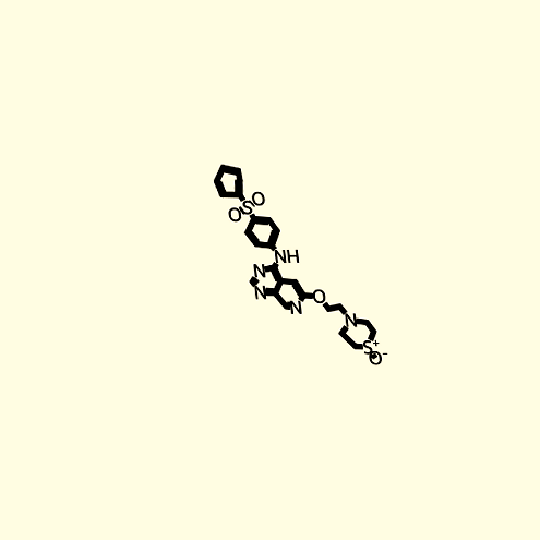 O=S(=O)(c1ccccc1)c1ccc(Nc2ncnc3cnc(OCCN4CC[S+]([O-])CC4)cc23)cc1